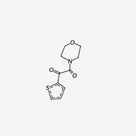 O=C(C(=O)N1CCOCC1)c1cccs1